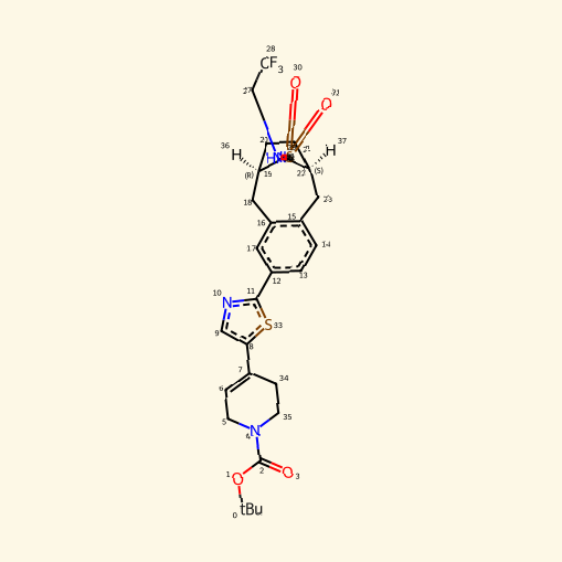 CC(C)(C)OC(=O)N1CC=C(c2cnc(-c3ccc4c(c3)C[C@H]3CC[C@@H](C4)[C@]34CN(CC(F)(F)F)S(=O)(=O)N4)s2)CC1